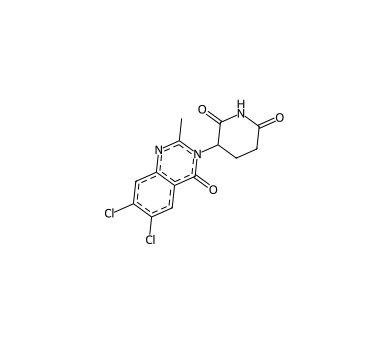 Cc1nc2cc(Cl)c(Cl)cc2c(=O)n1C1CCC(=O)NC1=O